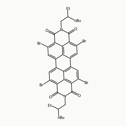 CCCCC(CC)CN1C(=O)c2c(Br)cc3c4cc(Br)c5c6c(c(Br)cc(c7cc(Br)c(c2c37)C1=O)c64)C(=O)N(CC(CC)CCCC)C5=O